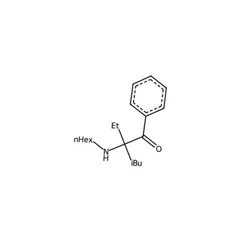 CCCCCCNC(CC)(C(=O)c1ccccc1)C(C)CC